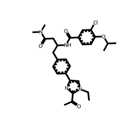 CCn1cc(-c2ccc(CC(CC(=O)N(C)C)NC(=O)c3ccc(OC(C)C)c(Cl)c3)cc2)nc1C(C)=O